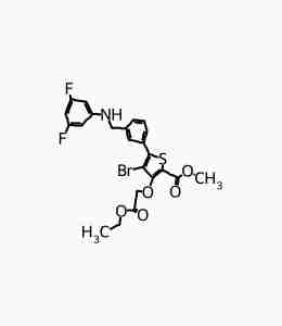 CCOC(=O)COc1c(C(=O)OC)sc(-c2cccc(CNc3cc(F)cc(F)c3)c2)c1Br